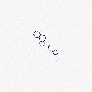 CSc1nsc(NC(=O)c2onc3c2ccc2cccnc23)n1